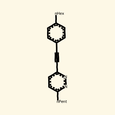 CCCCCCc1ccc(C#Cc2ccc(CCCCC)nn2)cc1